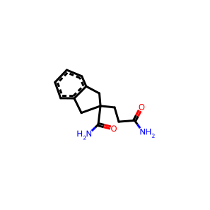 NC(=O)CCC1(C(N)=O)Cc2ccccc2C1